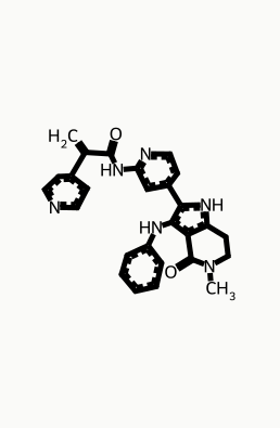 C=C(C(=O)Nc1cc(-c2[nH]c3c(c2Nc2ccccc2)C(=O)N(C)CC3)ccn1)c1ccncc1